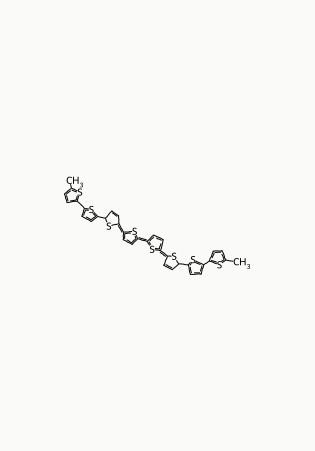 Cc1ccc(-c2ccc(C3C=C/C(=c4/cc/c(=c5/cc/c(=C6/C=CC(c7ccc(-c8ccc(C)s8)s7)S6)s5)s4)S3)s2)s1